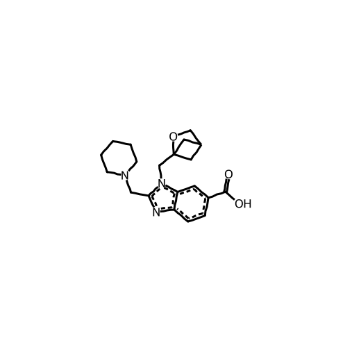 O=C(O)c1ccc2nc(CN3CCCCC3)n(CC34CC(CO3)C4)c2c1